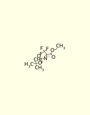 CCOC(=O)/C(=N/C(=O)OC(C)(C)C)C(F)(F)F